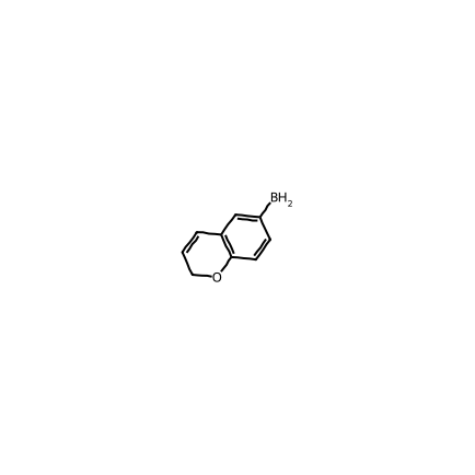 Bc1ccc2c(c1)C=CCO2